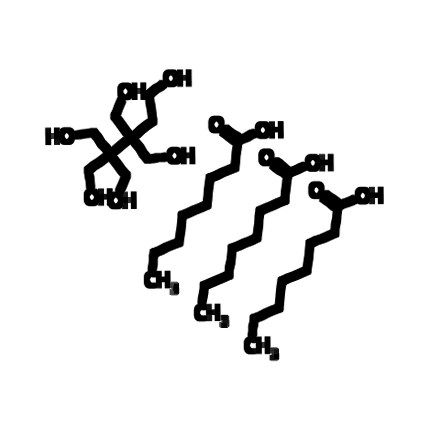 CCCCCCCC(=O)O.CCCCCCCC(=O)O.CCCCCCCC(=O)O.OCCC(CO)(CO)C(CO)(CO)CO